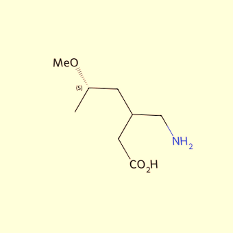 CO[C@@H](C)CC(CN)CC(=O)O